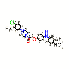 O=C(CO[C@H]1CC[C@H](Nc2ccc([N+](=O)[O-])c(C(F)(F)F)c2)CC1)N1CCN(c2ccc(Cl)c(C(F)(F)F)c2)CC1